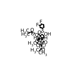 CC(C)C(=O)OCOC(=O)[C@H]1[C@@H]2[C@H](O)[C@@H](CSc3ccc(F)c(F)c3)[C@@](NC(=O)OC(C)(C)C)(C(=O)OCOC(=O)C(C)C)[C@H]12